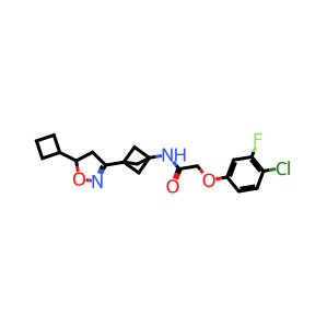 O=C(COc1ccc(Cl)c(F)c1)NC12CC(C3=NOC(C4CCC4)C3)(C1)C2